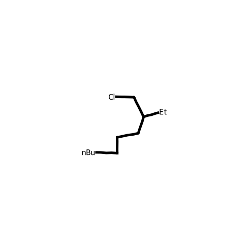 [CH2]CC(CCl)CCCCCCC